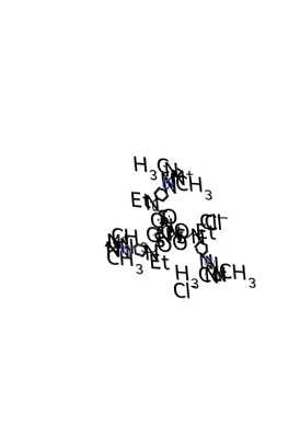 CCN(CCS(=O)(=O)N1CN(S(=O)(=O)CCN(CC)c2ccc(/N=N/c3n(C)cc[n+]3C)cc2)CN(S(=O)(=O)CCN(CC)c2ccc(/N=N/c3n(C)cc[n+]3C)cc2)C1)c1ccc(/N=N/c2n(C)cc[n+]2C)cc1.[Cl-].[Cl-].[Cl-]